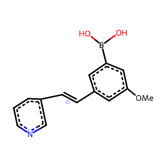 COc1cc(/C=C/c2cccnc2)cc(B(O)O)c1